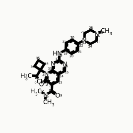 CC(C)C1(n2c(=O)c(C(=O)N(C)C)cc3cnc(Nc4ccc(N5CCN(C)CC5)cc4)nc32)CCC1